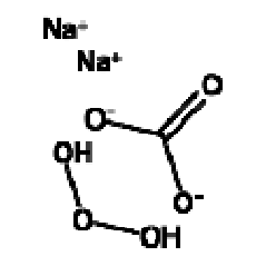 O=C([O-])[O-].OOO.[Na+].[Na+]